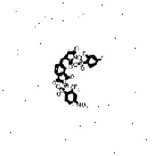 O=C1CC(Cc2ccc3c(c2)C(=O)N(OS(=O)(=O)c2ccc([N+](=O)[O-])cc2C(F)(F)F)C3=O)C(=O)N1OS(=O)(=O)c1ccc(F)cc1F